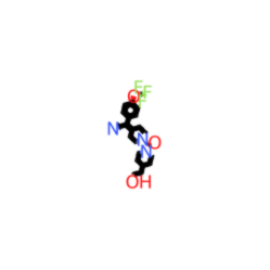 N#CC(=C1CCN(C(=O)N2CCC(CCO)CC2)CC1)c1ccc(OC(F)(F)F)cc1